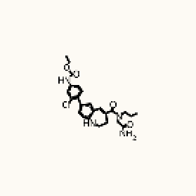 CCCN(CC(N)=O)C(=O)C1=Cc2cc(-c3ccc(NC(=O)OCC)cc3Cl)ccc2NCC1